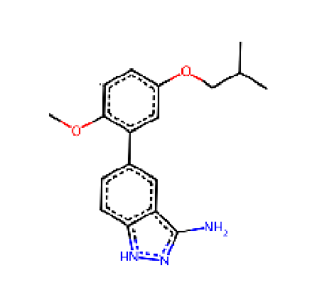 COc1[c]cc(OCC(C)C)cc1-c1ccc2[nH]nc(N)c2c1